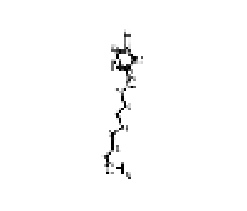 CCCCCCCCOc1c[nH]cn1